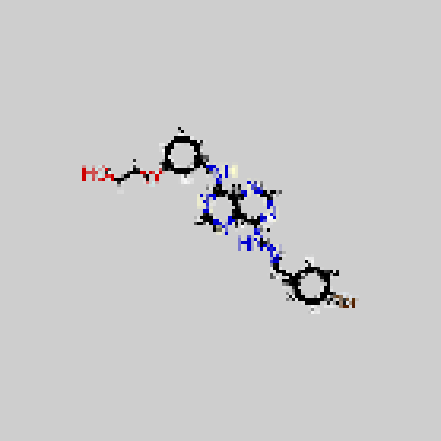 OCCOc1cccc(Nc2ncnc3c(N/N=C/c4ccc(Br)cc4)ncnc23)c1